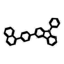 c1ccc(-n2c3ccc(-c4ccc(-c5cccc6ccccc56)cc4)cc3c3cccnc32)cc1